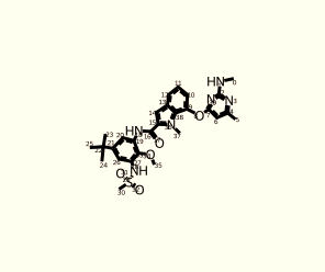 CNc1nc(C)cc(Oc2cccc3cc(C(=O)Nc4cc(C(C)(C)C)cc(NS(C)(=O)=O)c4OC)n(C)c23)n1